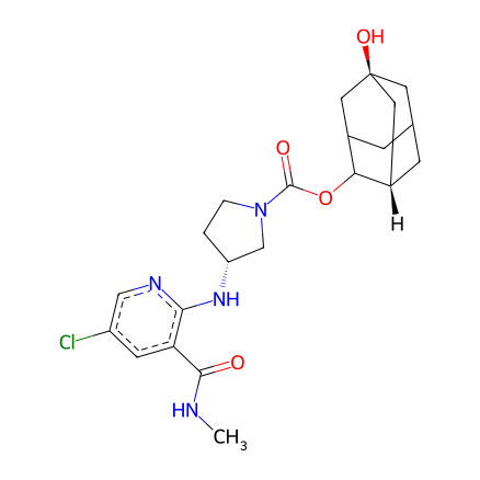 CNC(=O)c1cc(Cl)cnc1N[C@@H]1CCN(C(=O)OC2C3CC4C[C@H]2C[C@@](O)(C4)C3)C1